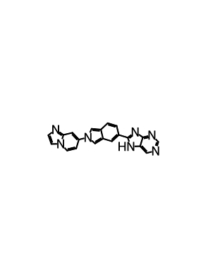 c1ncc2[nH]c(-c3ccc4cn(-c5ccn6ccnc6c5)cc4c3)nc2n1